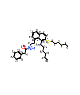 CCCCCCSc1ccc2cccc(CCNC(=O)Cc3ccccc3)c2c1CCCCCC